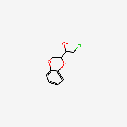 OC(CCl)C1COc2ccccc2O1